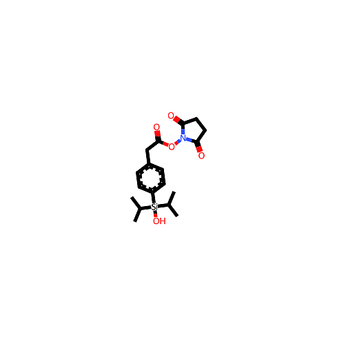 CC(C)[Si](O)(c1ccc(CC(=O)ON2C(=O)CCC2=O)cc1)C(C)C